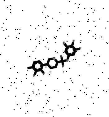 Cc1ccc(C2CCC(C(F)(F)Oc3cc(F)c(F)c(F)c3)OC2)c(F)c1F